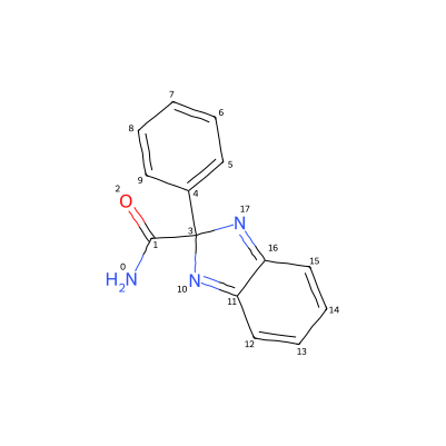 NC(=O)C1(c2ccccc2)N=c2ccccc2=N1